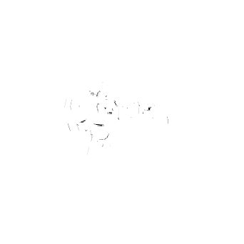 CCC(=O)N1CCC(c2cc(N3CCOC[C@H]3C)nc(-c3cc(OC)nc4[nH]ccc34)n2)CC1